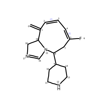 C=C1/C=C\C=C(\F)CC(C2CCNCC2)N2C=NCC12